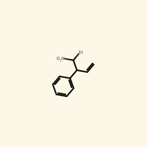 C=CC(c1ccccc1)C(CC)[N+](=O)[O-]